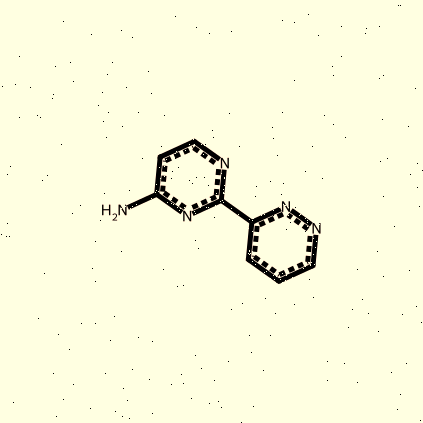 Nc1ccnc(-c2cccnn2)n1